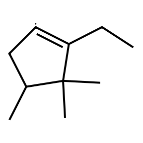 CCC1=[C]CC(C)C1(C)C